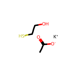 CC(=O)[O-].OCCS.[K+]